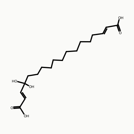 O=C(O)C=CCCCCCCCCCCCC(O)(O)C=CC(=O)O